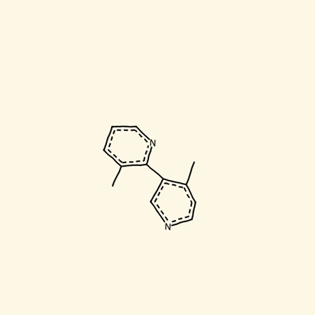 Cc1ccncc1-c1ncccc1C